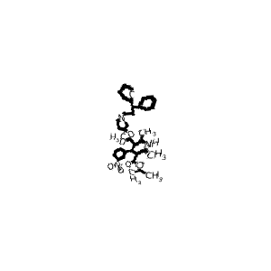 CC1=C(C(=O)OC(C)C)C(c2cccc([N+](=O)[O-])c2)C(C(=O)O[C@@]2(C)CCN(CCC(c3ccccc3)c3ccccc3)C2)=C(C)N1